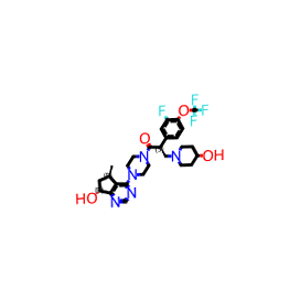 C[C@@H]1C[C@@H](O)c2ncnc(N3CCN(C(=O)[C@H](CN4CCC(O)CC4)c4ccc(OC(F)(F)F)c(F)c4)CC3)c21